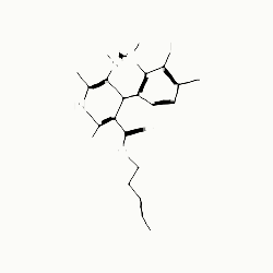 CCCCCOC(=O)C1=C(C)NC(C)=C([N+](=O)[O-])C1c1ccc(F)c(F)c1OC